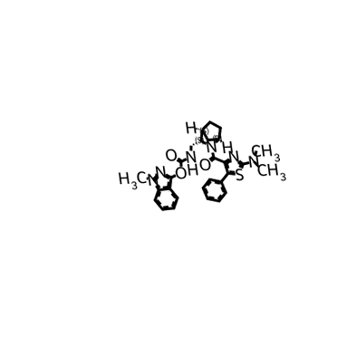 CN(C)c1nc(C(=O)N2[C@@H]3CC[C@@H](C3)[C@H]2CNC(=O)Oc2nn(C)c3ccccc23)c(-c2ccccc2)s1